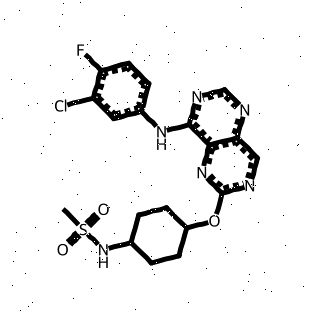 CS(=O)(=O)NC1CCC(Oc2ncc3ncnc(Nc4ccc(F)c(Cl)c4)c3n2)CC1